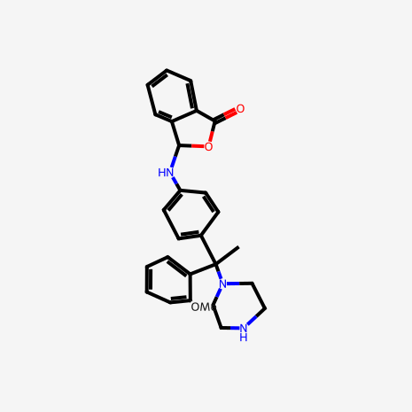 COc1ccccc1C(C)(c1ccc(NC2OC(=O)c3ccccc32)cc1)N1CCNCC1